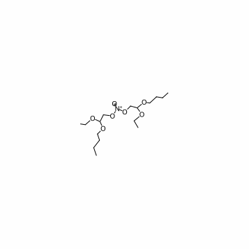 CCCCOC(CO[N+](=O)OCC(OCC)OCCCC)OCC